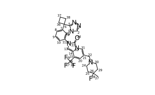 Cn1cnnc1C1(c2cccc(-n3cc4c(C(F)(F)F)cc(CN5CCC(C)(F)CC5)cn4c3=O)c2)CCC1